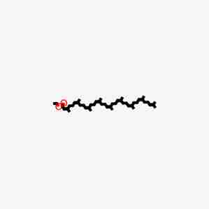 CCOC(=O)C=C(C)CCC=C(C)CCC=C(C)CCC=C(C)CCC=C(C)CCC=C(C)CCC=C(C)CCC=C(C)CCC=C(C)C